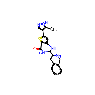 Cc1[nH]ncc1-c1cc2c(s1)C(=O)NC(C1Cc3ccccc3CN1)N2